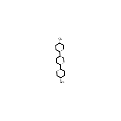 CCCC[C@H]1CC[C@H]([C@H]2CC[C@H]([C@H]3CC[C@@H](C#N)CC3)CC2)CC1